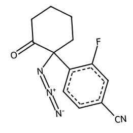 N#Cc1ccc(C2(N=[N+]=[N-])CCCCC2=O)c(F)c1